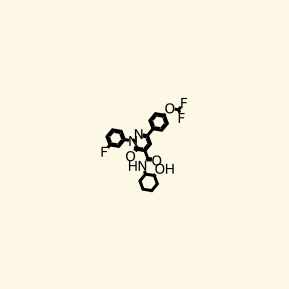 O=C(NC1CCCCC1O)c1cc(-c2ccc(OC(F)F)cc2)nn(-c2cccc(F)c2)c1=O